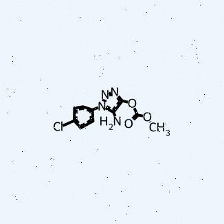 COC(=O)Oc1nnn(-c2ccc(Cl)cc2)c1N